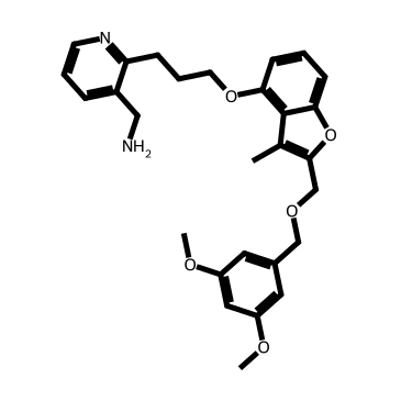 COc1cc(COCc2oc3cccc(OCCCc4ncccc4CN)c3c2C)cc(OC)c1